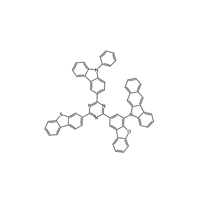 c1ccc(-n2c3ccccc3c3cc(-c4nc(-c5ccc6c(c5)sc5ccccc56)nc(-c5cc(-n6c7ccccc7c7cc8ccccc8cc76)c6oc7ccccc7c6c5)n4)ccc32)cc1